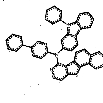 c1ccc(-c2ccc(N(c3ccc4c5ccccc5n(-c5ccccc5)c4c3)c3nccc4sc5c6ccccc6ccc5c34)cc2)cc1